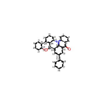 O=c1c2ccccc2n2c3c(cc(-c4ccccc4)cc13)B1Oc3ccccc3-c3cccc-2c31